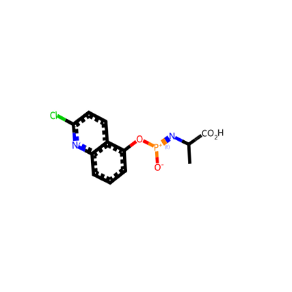 CC(/N=[P+](\[O-])Oc1cccc2nc(Cl)ccc12)C(=O)O